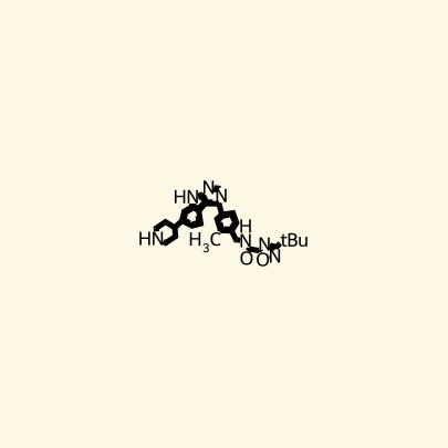 Cc1cc(-c2ncnc3[nH]c4cc(C5CCNCC5)ccc4c23)ccc1CNC(=O)c1nc(C(C)(C)C)no1